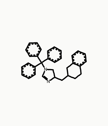 C1=NC(CC2CCc3ccccc3C2)CN1C(c1ccccc1)(c1ccccc1)c1ccccc1